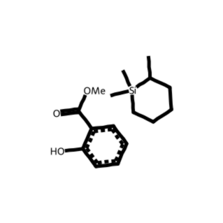 CC1CCCC[Si]1(C)C.COC(=O)c1ccccc1O